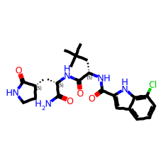 CC(C)(C)C[C@H](NC(=O)c1cc2cccc(Cl)c2[nH]1)C(=O)N[C@@H](C[C@@H]1CCNC1=O)C(N)=O